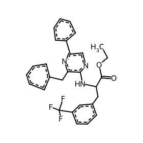 CCOC(=O)C(Cc1cccc(C(F)(F)F)c1)Nc1ncc(-c2ccccc2)nc1Cc1ccccc1